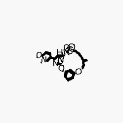 CC1CCCS(=O)(=O)Nc2cc(-c3ccc(=O)n(C)c3)nc(n2)Oc2cccc(c2)OCC1